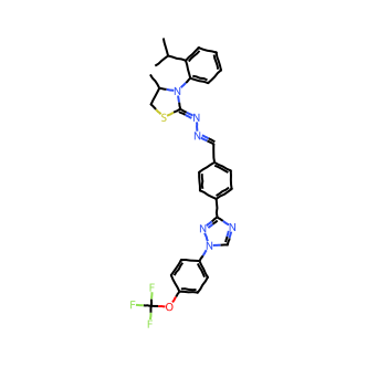 CC(C)c1ccccc1N1/C(=N/N=C/c2ccc(-c3ncn(-c4ccc(OC(F)(F)F)cc4)n3)cc2)SCC1C